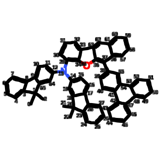 CC1(C)c2ccccc2-c2ccc(N(c3ccc4c(c3)C(C)(C)c3ccccc3-4)c3cccc4c3oc3c(-c5ccc6c7ccccc7c7ccccc7c6c5)c5ccccc5cc34)cc21